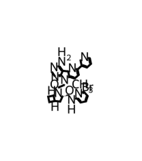 Cc1cc(-c2cccnc2)nc2c3c(N)ncnc3n(CC(=O)N3[C@@H]4CC[C@@H]4C[C@H]3C(=O)Nc3cccc(Br)n3)c12